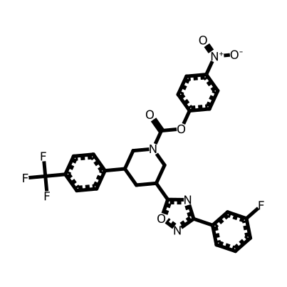 O=C(Oc1ccc([N+](=O)[O-])cc1)N1CC(c2ccc(C(F)(F)F)cc2)CC(c2nc(-c3cccc(F)c3)no2)C1